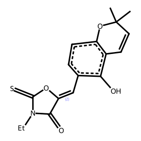 CCN1C(=O)/C(=C/c2ccc3c(c2O)C=CC(C)(C)O3)OC1=S